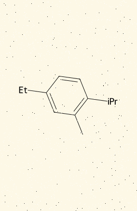 CCc1ccc(C(C)C)c(C)c1